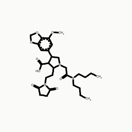 CCCCN(CCCC)C(=O)CN1CC(c2cc(OC)c3c(c2)OCO3)C(C(=O)O)C1CCN1C(=O)CCC1=O